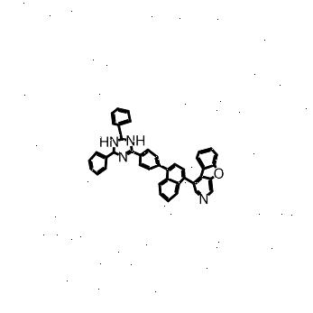 c1ccc(C2N=C(c3ccc(-c4ccc(-c5cncc6oc7ccccc7c56)c5ccccc45)cc3)NC(c3ccccc3)N2)cc1